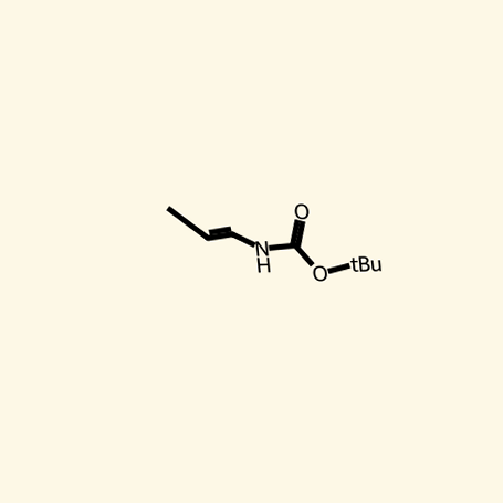 CC=CNC(=O)OC(C)(C)C